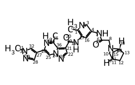 Cc1ncc(NC(=O)CN2C[C@H]3CC[C@@H]2C3)cc1NC(=O)c1cnn2cc(-c3cnn(C)c3)nc(C)c12